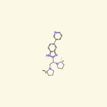 C[C@@H]1CCCN1CC(c1nc2cc(-c3cccnc3)ccc2[nH]1)N1CCC[C@H]1C